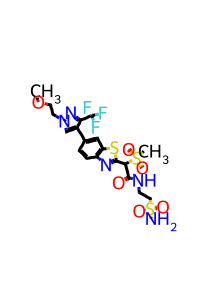 COCCn1cc(-c2ccc3nc(C(C(=O)NCCS(N)(=O)=O)S(C)(=O)=O)sc3c2)c(C(F)(F)F)n1